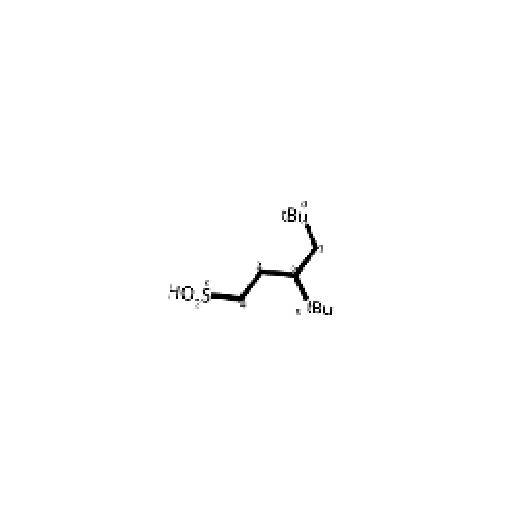 CC(C)(C)CC(CCS(=O)(=O)O)C(C)(C)C